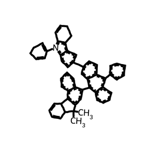 CC1(C)c2cc(-c3c4ccccc4c(-c4ccccc4)c4ccc(-c5ccc6c(c5)c5c(n6C6=CCCC=C6)C=CCC5)cc34)c3ccccc3c2C2C=CC=CC21